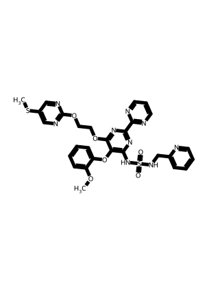 COc1ccccc1Oc1c(NS(=O)(=O)NCc2ccccn2)nc(-c2ncccn2)nc1OCCOc1ncc(SC)cn1